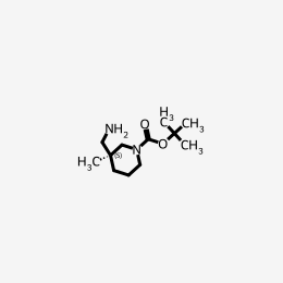 CC(C)(C)OC(=O)N1CCC[C@@](C)(CN)C1